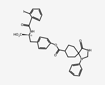 O=C(N[C@@H](Cc1ccc(OC(=O)C2CCC3(CC2)C(=O)NCN3c2ccccc2)cc1)C(=O)O)c1ccccc1I